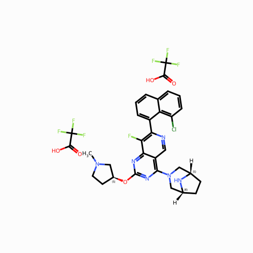 CN1CC[C@H](Oc2nc(N3C[C@H]4CC[C@@H](C3)N4)c3cnc(-c4cccc5cccc(Cl)c45)c(F)c3n2)C1.O=C(O)C(F)(F)F.O=C(O)C(F)(F)F